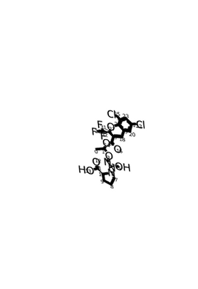 CC(O/N=[N+](\O)N1CCC[C@H]1C(=O)O)OC(=O)C1=Cc2cc(Cl)cc(Cl)c2O[C@@H]1C(F)(F)F